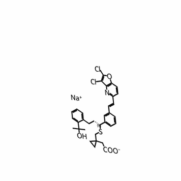 CC(C)(O)c1ccccc1CC[C@@H](SCC1(CC(=O)[O-])CC1)c1cccc(C=Cc2ccc3oc(Cl)c(Cl)c3n2)c1.[Na+]